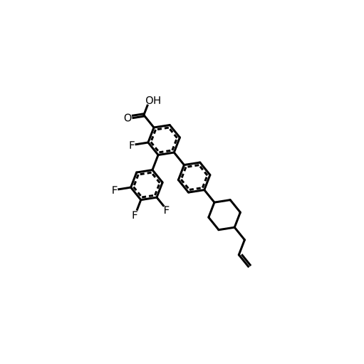 C=CCC1CCC(c2ccc(-c3ccc(C(=O)O)c(F)c3-c3cc(F)c(F)c(F)c3)cc2)CC1